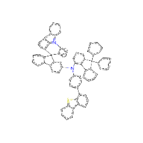 c1ccc(C2(c3ccccc3)c3ccccc3-c3c(N(c4ccc(-c5cccc6c5sc5ccccc56)cc4)c4ccc5c(c4)C4(c6ccccc6-5)c5ccccc5-n5c6ccccc6c6cccc4c65)cccc32)cc1